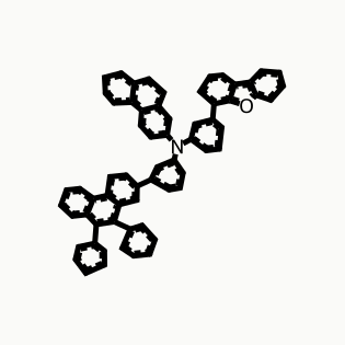 c1ccc(-c2c(-c3ccccc3)c3cc(-c4cccc(N(c5cccc(-c6cccc7c6oc6ccccc67)c5)c5ccc6c(ccc7ccccc76)c5)c4)ccc3c3ccccc23)cc1